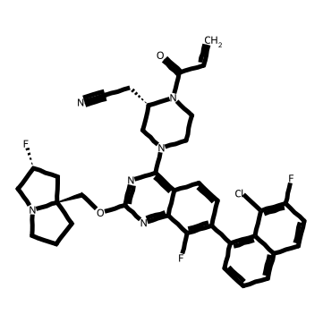 C=CC(=O)N1CCN(c2nc(OC[C@@]34CCCN3C[C@H](F)C4)nc3c(F)c(-c4cccc5ccc(F)c(Cl)c45)ccc23)C[C@@H]1CC#N